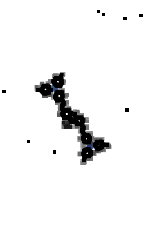 Cc1ccc(N(c2ccc(C)cc2)c2ccc(C=Cc3ccc4c(C#N)c5cc(C=Cc6ccc(N(c7ccc(C)cc7)c7ccc(C)cc7)cc6)ccc5cc4c3)cc2)cc1